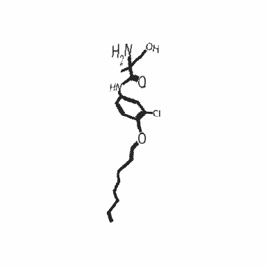 CCCCCCCCOc1ccc(NC(=O)C(C)(N)CO)cc1Cl